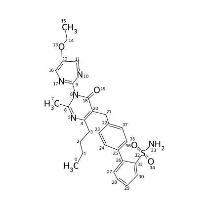 CCCCc1nc(C)n(-c2ncc(OCC)cn2)c(=O)c1Cc1ccc(-c2ccccc2S(N)(=O)=O)cc1